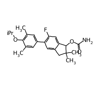 Cc1cc(-c2cc3c(cc2F)C(OC(N)=O)C(C)(C)C3)cc(C)c1OC(C)C